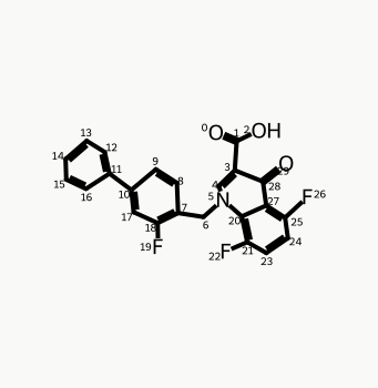 O=C(O)c1cn(Cc2ccc(-c3ccccc3)cc2F)c2c(F)ccc(F)c2c1=O